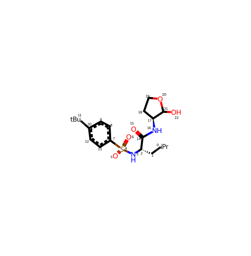 CC(C)C[C@H](NS(=O)(=O)c1ccc(C(C)(C)C)cc1)C(=O)N[C@H]1CCOC1O